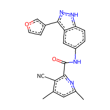 Cc1cc(C)c(C#N)c(C(=O)Nc2ccc3[nH]nc(-c4ccoc4)c3c2)n1